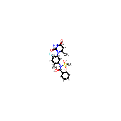 CCS(=O)(=O)N(C(=O)c1ccccc1)c1cc(-n2c(C(F)(F)F)cc(=O)[nH]c2=O)c(F)cc1C#N